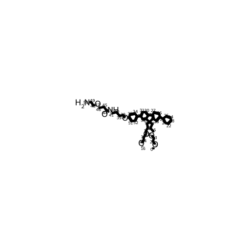 COCCOCCCC1(CCCOCCOC)c2cc(-c3ccccc3)ccc2-c2ccc(-c3ccc(OCCCCNC(=O)CCOCCN)cc3)cc21